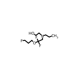 CCCN(CCO)CC(F)(F)OCCCF